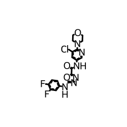 O=C(Nc1cnc(N2CCOCC2)c(Cl)c1)c1nnc(Nc2ccc(F)c(F)c2)o1